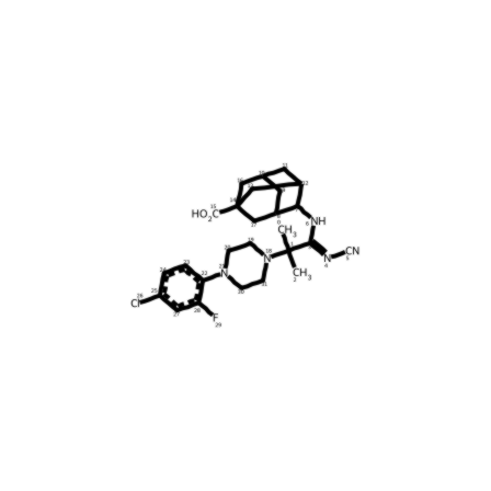 CC(C)(/C(=N/C#N)NC1C2CC3CC1CC(C(=O)O)(C3)C2)N1CCN(c2ccc(Cl)cc2F)CC1